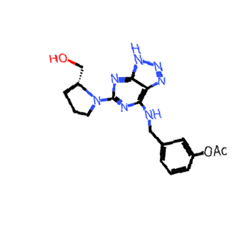 CC(=O)Oc1cccc(CNc2nc(N3CCC[C@@H]3CO)nc3[nH]nnc23)c1